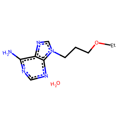 CCOCCCn1cnc2c(N)ncnc21.O